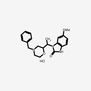 COc1ccc2[nH]c(=O)n(C(C)C3CN(Cc4ccccc4)CCO3)c2c1.Cl